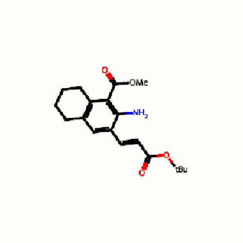 COC(=O)c1c(N)c(/C=C/C(=O)OC(C)(C)C)cc2c1CCCC2